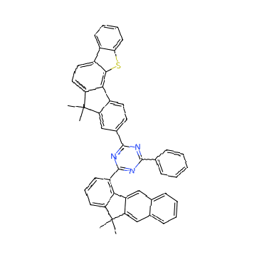 CC1(C)c2cc3ccccc3cc2-c2c(-c3nc(-c4ccccc4)nc(-c4ccc5c(c4)C(C)(C)c4ccc6c(sc7ccccc76)c4-5)n3)cccc21